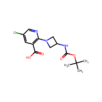 CC(C)(C)OC(=O)NC1CN(c2ncc(Cl)cc2C(=O)O)C1